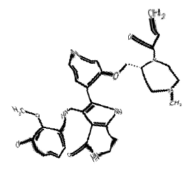 C=CC(=O)N1CCN(C)C[C@@H]1COc1cnccc1-c1[nH]c2c(c1Nc1cccc(Cl)c1OC)C(=O)NCC2